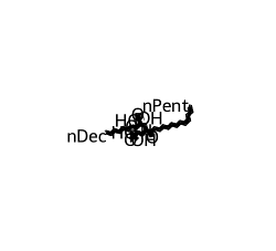 CCCCC/C=C\C/C=C\CCCCCCCC(=O)N(CCP(=O)(O)O)CC(COCCCCCCCCCCCCCCCC)P(=O)(O)O